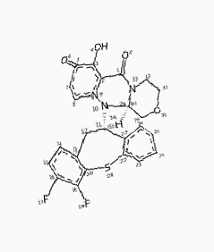 O=C1c2c(O)c(=O)ccn2N([C@H]2Cc3ccc(F)c(F)c3Sc3ccccc32)[C@@H]2COCCN12